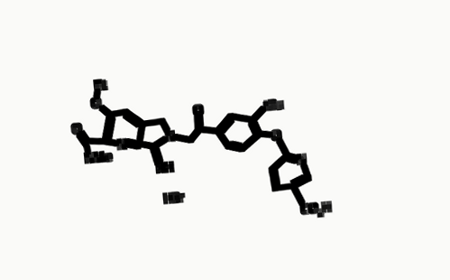 Br.CCOc1cc2c(nc1C(=O)NC)C(=N)N(CC(=O)c1ccc(Oc3ccc(C(=O)O)cn3)c(C(C)(C)C)c1)C2